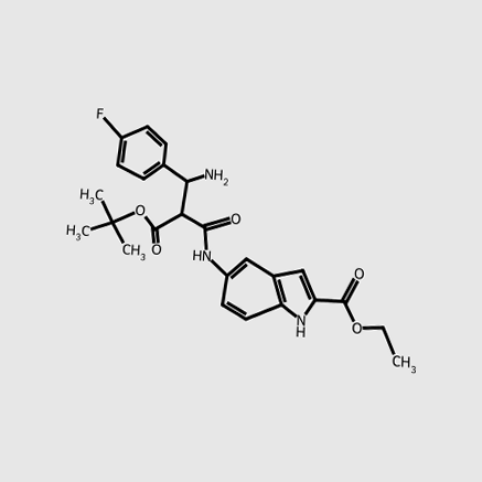 CCOC(=O)c1cc2cc(NC(=O)C(C(=O)OC(C)(C)C)C(N)c3ccc(F)cc3)ccc2[nH]1